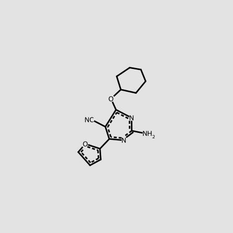 N#Cc1c(OC2CCCCC2)nc(N)nc1-c1ccco1